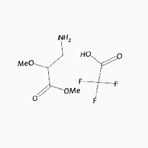 COC(=O)C(CN)OC.O=C(O)C(F)(F)F